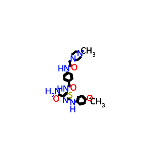 COc1ccc(Nc2nc(C(N)=O)c(NC(=O)c3ccc(NC(=O)CN4CCN(C)CC4)cc3)s2)cc1